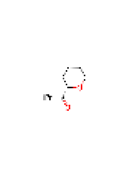 CC(C)C(=O)[C@@H]1CCCCO1